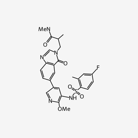 CNC(=O)C(C)Cn1cnc2ccc(-c3cnc(OC)c(NS(=O)(=O)c4ccc(F)cc4C)c3)cc2c1=O